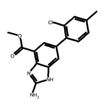 COC(=O)c1cc(-c2ccc(C)cc2Cl)cc2[nH]c(N)nc12